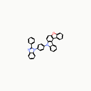 c1ccc(-c2nc3ccccc3n2-c2ccc(-n3c4ccccc4c4c5c(ccc43)oc3ccccc35)cc2)cc1